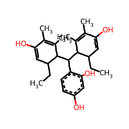 CCC1C=C(O)C(C)=C(C)C1C(c1ccc(O)cc1O)C1C(C)=C(C)C(O)=CC1CC